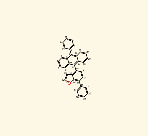 c1ccc(-c2c3ccccc3c(-c3ccc(-c4ccccc4)c4occc34)c3ccccc23)cc1